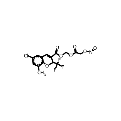 Cc1cc(Cl)cc2c1OC(C(F)(F)F)C(C(=O)OCOC(=O)CON=O)=C2